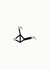 C=C1[C]2OC21C